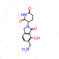 NCc1ccc2c(c1O)C(=O)N(C1CCC(=O)NC1=O)C2